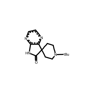 CC(C)(C)N1CCC2(CC1)C(=O)Nc1nccnc12